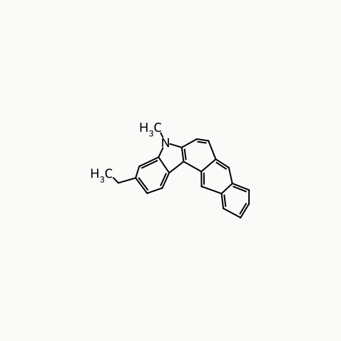 CCc1ccc2c3c4cc5ccccc5cc4ccc3n(C)c2c1